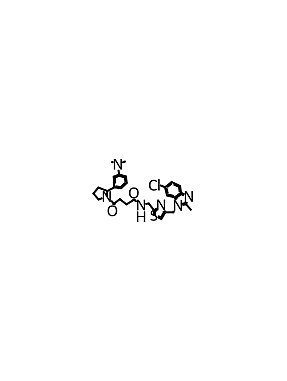 Cc1nc2ccc(Cl)cc2n1Cc1csc(CNC(=O)CCC(=O)N2CCCC2c2cccc(N(C)C)c2)n1